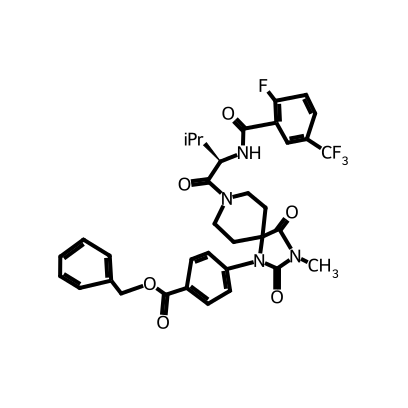 CC(C)[C@@H](NC(=O)c1cc(C(F)(F)F)ccc1F)C(=O)N1CCC2(CC1)C(=O)N(C)C(=O)N2c1ccc(C(=O)OCc2ccccc2)cc1